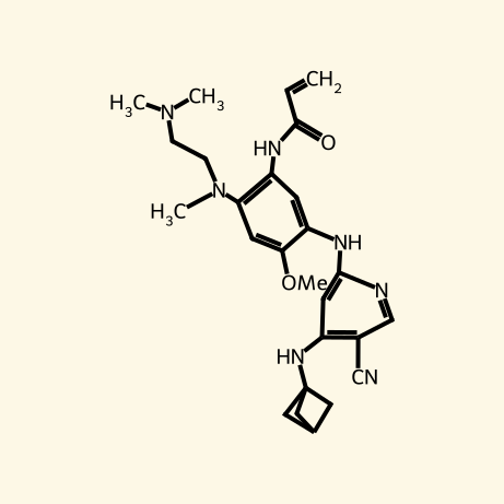 C=CC(=O)Nc1cc(Nc2cc(NC34CC(C3)C4)c(C#N)cn2)c(OC)cc1N(C)CCN(C)C